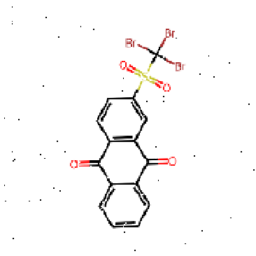 O=C1c2ccccc2C(=O)c2cc(S(=O)(=O)C(Br)(Br)Br)ccc21